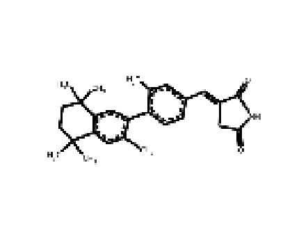 Cc1cc(/C=C2\SC(=O)NC2=O)ccc1-c1cc2c(cc1C)C(C)(C)CCC2(C)C